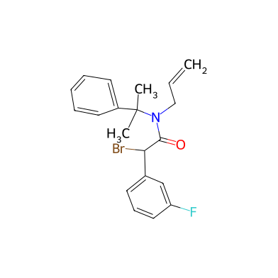 C=CCN(C(=O)C(Br)c1cccc(F)c1)C(C)(C)c1ccccc1